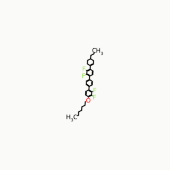 CCCCCCCOc1ccc(-c2ccc(-c3ccc(C4=CCC(CCC)CC4)c(F)c3F)cc2)c(F)c1F